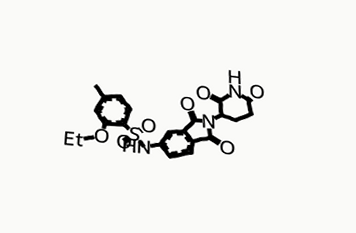 CCOc1cc(C)ccc1S(=O)(=O)Nc1ccc2c(c1)C(=O)N(C1CCC(=O)NC1=O)C2=O